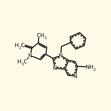 C=C1C(C)=CC(c2nc3cnc(N)cc3n2Cc2ccccc2)=CN1C